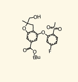 CC(C)(C)OC(=O)c1cc(Oc2cc(F)ccc2S(C)(=O)=O)c2c(c1)OC(C)(CO)C2